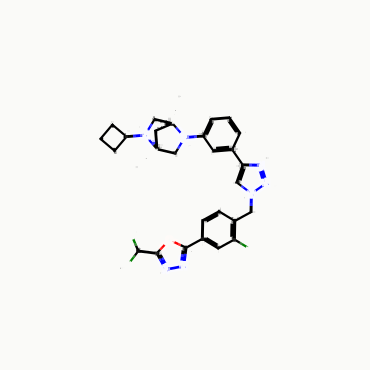 Fc1cc(-c2nnc(C(F)F)o2)ccc1Cn1cc(-c2cccc(N3C[C@@H]4C[C@H]3CN4C3CCC3)c2)nn1